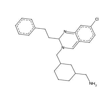 NCC1CCCC(CN2C=c3ccc(Cl)cc3=NC2CCc2ccccc2)C1